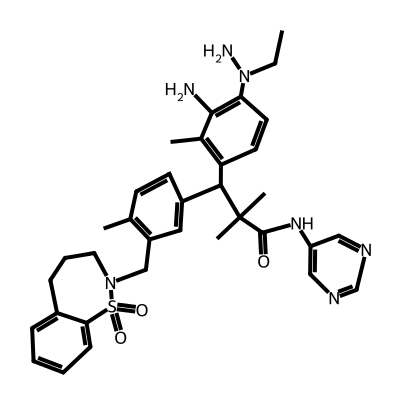 CCN(N)c1ccc(C(c2ccc(C)c(CN3CCCc4ccccc4S3(=O)=O)c2)C(C)(C)C(=O)Nc2cncnc2)c(C)c1N